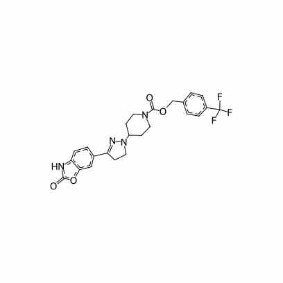 O=C(OCc1ccc(C(F)(F)F)cc1)N1CCC(N2CCC(c3ccc4[nH]c(=O)oc4c3)=N2)CC1